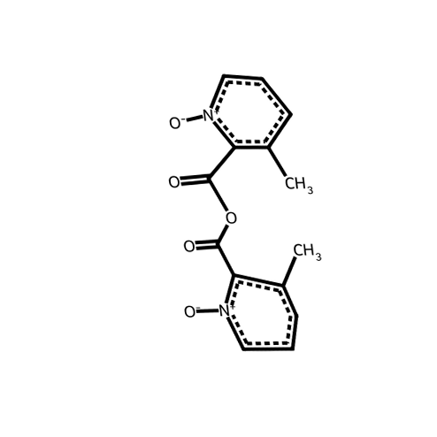 Cc1ccc[n+]([O-])c1C(=O)OC(=O)c1c(C)ccc[n+]1[O-]